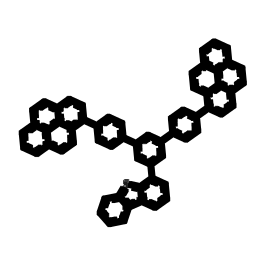 c1cc2ccc3ccc(-c4ccc(-c5cc(-c6ccc(-c7ccc8ccc9cccc%10ccc7c8c9%10)cc6)cc(-c6cccc7c6sc6ccccc67)c5)cc4)c4ccc(c1)c2c34